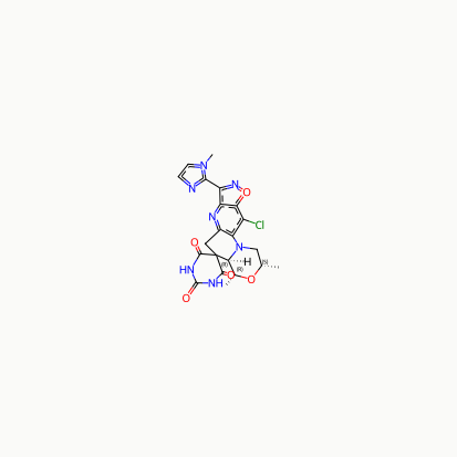 C[C@H]1CN2c3c(nc4c(-c5nccn5C)noc4c3Cl)CC3(C(=O)NC(=O)NC3=O)[C@@H]2[C@@H](C)O1